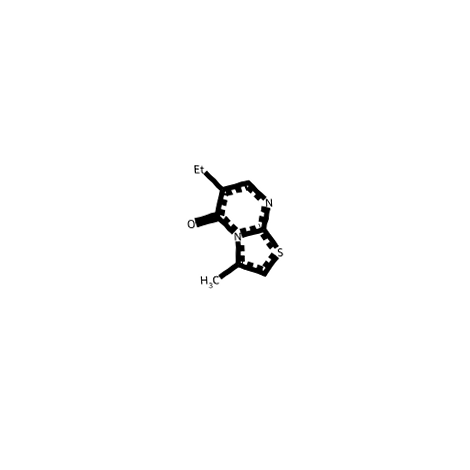 CCc1cnc2scc(C)n2c1=O